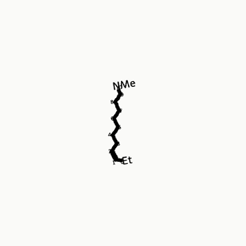 CC/C=C\CCCCCCCNC